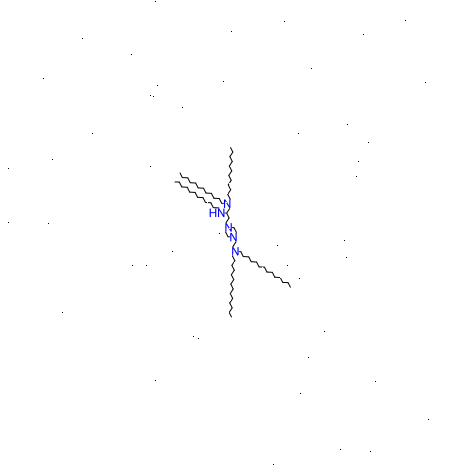 CCCCCCCCCCCCCCN(CCCCCCCCCCCCCC)CCN1CCN(CCC(CN(CCCCCCCCCCCC)CCCCCCCCCCCC)NCCCCCCCCCCCC)CC1